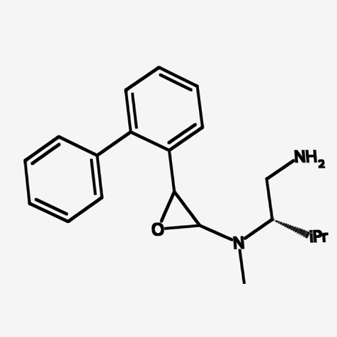 CC(C)[C@@H](CN)N(C)C1OC1c1ccccc1-c1ccccc1